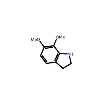 COc1ccc2c(c1OC)NCC2